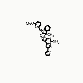 COc1cccc(CNC(=O)C(C)(c2ccccc2)n2ncc3c2nc(N)n2nc(-c4ccco4)nc32)n1